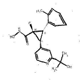 Cc1ccccc1[C@@H]1[C@@H](c2ccnc(C(C)(C)O)c2)[C@]1(F)C(=O)NO